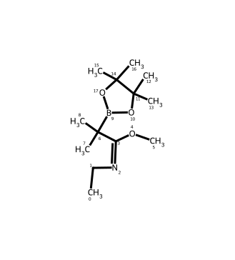 CC/N=C(/OC)C(C)(C)B1OC(C)(C)C(C)(C)O1